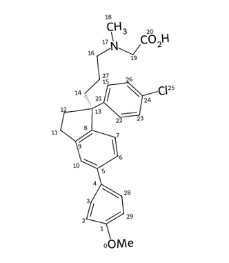 COc1ccc(-c2ccc3c(c2)CC[C@@]3(CCCN(C)CC(=O)O)c2ccc(Cl)cc2)cc1